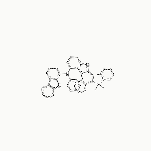 CC1(C)c2ccccc2-c2c1c1ccccc1c1c2oc2cccc(N(c3ccccc3)c3cccc4c3sc3ccccc34)c21